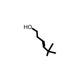 CC(C)(C)C=CCCO